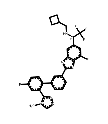 Cn1cnnc1-c1cc(F)ccc1-c1cccc(-c2nc3cc([C@@H](NCC4CCC4)C(F)(F)F)cc(F)c3o2)c1